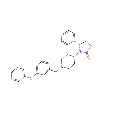 O=C1OC[C@@H](c2ccccc2)N1C1CCN(Cc2cccc(Oc3ccccc3)c2)CC1